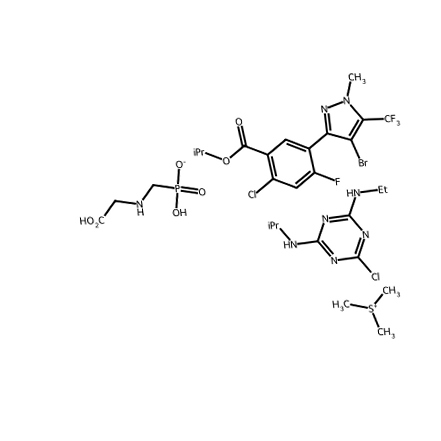 CC(C)OC(=O)c1cc(-c2nn(C)c(C(F)(F)F)c2Br)c(F)cc1Cl.CCNc1nc(Cl)nc(NC(C)C)n1.C[S+](C)C.O=C(O)CNCP(=O)([O-])O